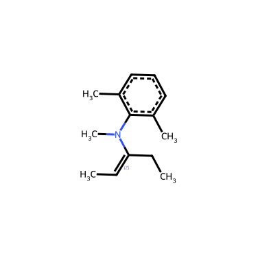 C/C=C(/CC)N(C)c1c(C)cccc1C